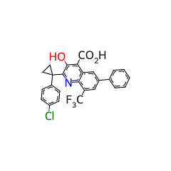 O=C(O)c1c(O)c(C2(c3ccc(Cl)cc3)CC2)nc2c(C(F)(F)F)cc(-c3ccccc3)cc12